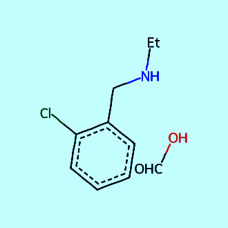 CCNCc1ccccc1Cl.O=CO